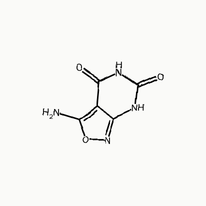 Nc1onc2[nH]c(=O)[nH]c(=O)c12